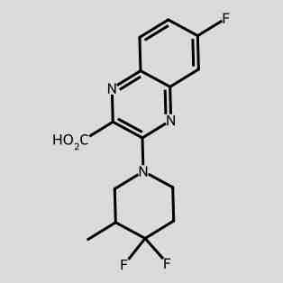 CC1CN(c2nc3cc(F)ccc3nc2C(=O)O)CCC1(F)F